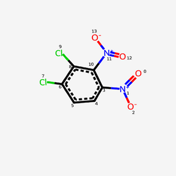 O=[N+]([O-])c1ccc(Cl)c(Cl)c1[N+](=O)[O-]